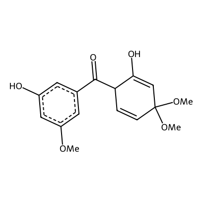 COc1cc(O)cc(C(=O)C2C=CC(OC)(OC)C=C2O)c1